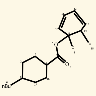 CCCCC1CCC(C(=O)OC2(F)C=CC=CC2F)CC1